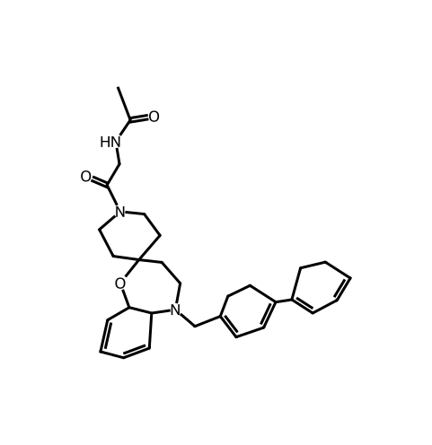 CC(=O)NCC(=O)N1CCC2(CC1)CCN(CC1=CC=C(C3=CC=CCC3)CC1)C1C=CC=CC1O2